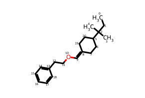 CCC(C)(C)C1CCC(=COCCc2ccccc2)CC1